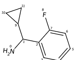 NC(c1c[c]ccc1F)C1CC1